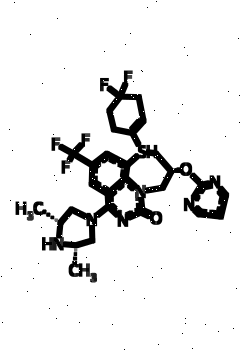 C[C@@H]1CN(c2nc(=O)n3c4c(cc(C(F)(F)F)cc24)[SH](C2=CCC(F)(F)CC2)C[C@@H](Oc2ncccn2)C3)C[C@H](C)N1